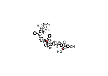 CN[C@@H](C)C(=O)N[C@@H](CCCNC(=S)N(c1ccc2c(c1)C(=O)OC21c2ccc(O)cc2Oc2cc(O)ccc21)C(C)C)C(O)N1CCC[C@H]1CN(CCc1ccccc1)C(=O)CCCC(=O)N(CCc1ccccc1)C[C@@H]1CCCN1C(=O)[C@@H](NC(=O)[C@H](C)NC)C(C)(C)C